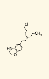 CCCN(CCCCl)CCc1ccc2c(c1)NCCO2